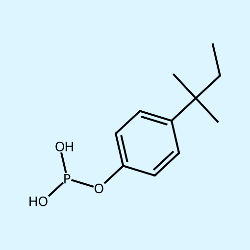 CCC(C)(C)c1ccc(OP(O)O)cc1